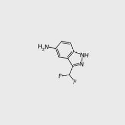 Nc1ccc2[nH]nc(C(F)F)c2c1